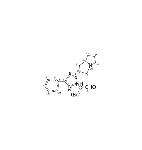 CC(C)(C)OC=O.c1ccc(-c2cc(C3CC4CCCN4C3)[nH]n2)cc1